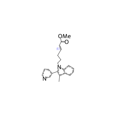 COC(=O)/C=C/CCCn1c(-c2cccnc2)c(C)c2ccccc21